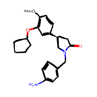 COc1ccc([C@H]2CC(=O)N(Cc3ccc(N)cc3)C2)cc1OC1CCCC1